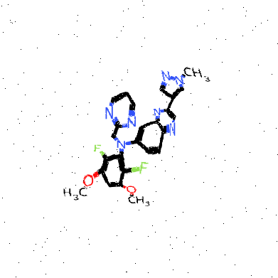 COc1cc(OC)c(F)c(N(Cc2ncccn2)c2ccc3ncc(-c4cnn(C)c4)nc3c2)c1F